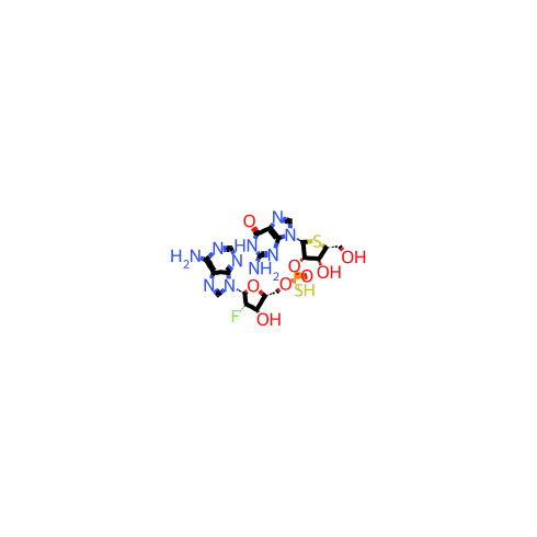 Nc1nc2c(ncn2[C@@H]2S[C@H](CO)[C@@H](O)[C@H]2O[P@](=O)(S)OC[C@H]2O[C@@H](n3cnc4c(N)ncnc43)[C@@H](F)[C@@H]2O)c(=O)[nH]1